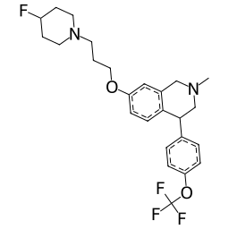 CN1Cc2cc(OCCCN3CCC(F)CC3)ccc2C(c2ccc(OC(F)(F)F)cc2)C1